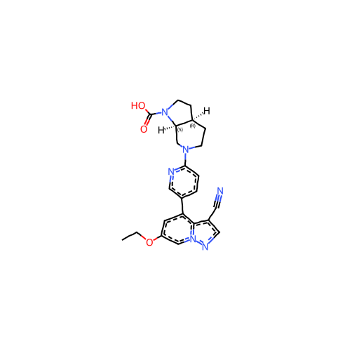 CCOc1cc(-c2ccc(N3CC[C@@H]4CCN(C(=O)O)[C@@H]4C3)nc2)c2c(C#N)cnn2c1